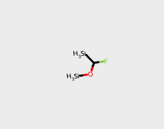 FC([SiH3])O[SiH3]